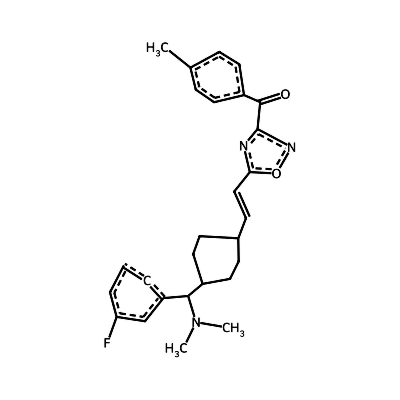 Cc1ccc(C(=O)c2noc(/C=C/C3CCC(C(c4cccc(F)c4)N(C)C)CC3)n2)cc1